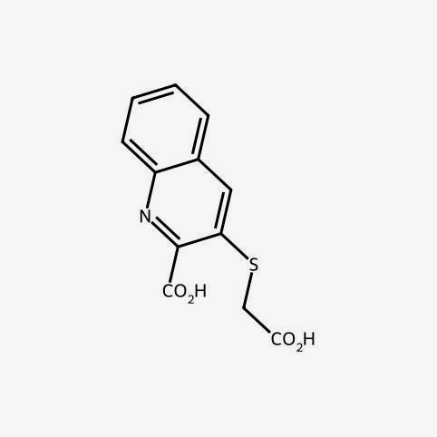 O=C(O)CSc1cc2ccccc2nc1C(=O)O